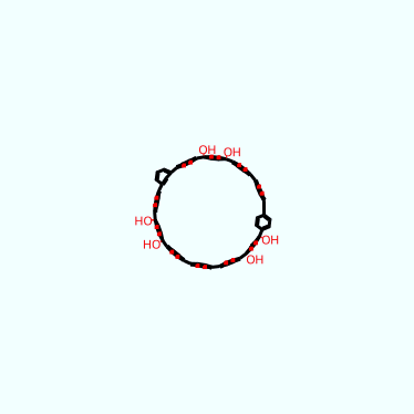 O[C@]12C=C[C@](O)(C=C1)c1ccc(cc1)-c1ccc(cc1)-c1ccc(cc1)[C@]1(O)C=C[C@@](O)(C=C1)c1ccc(cc1)-c1cccc(c1)-c1ccc(cc1)[C@@]1(O)C=C[C@](O)(C=C1)c1ccc(cc1)-c1ccc(cc1)-c1ccc2cc1